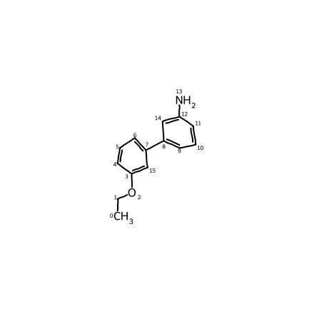 CCOc1cccc(-c2cccc(N)c2)c1